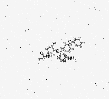 C=CC(=O)Nc1ccc(F)c(Oc2ncnc(N)c2-c2ccc(Oc3ccccc3)cc2)c1